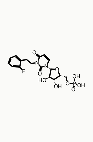 O=c1ccn([C@@H]2O[C@H](COP(=O)(O)O)[C@H](O)[C@@H]2O)c(=O)n1CCc1ccccc1F